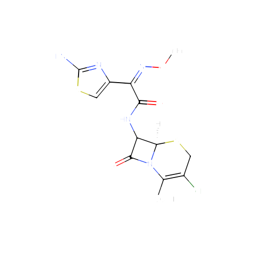 CCCO/N=C(\C(=O)NC1C(=O)N2C(C(=O)O)=C(Cl)CS[C@H]12)c1csc(N)n1